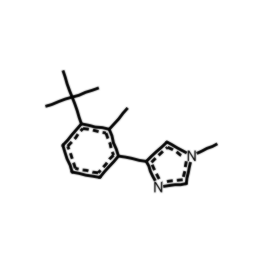 Cc1c(-c2cn(C)cn2)cccc1C(C)(C)C